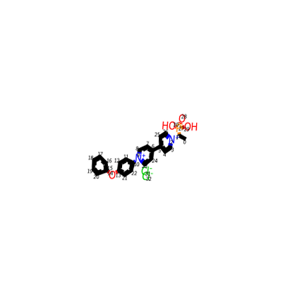 CC([n+]1ccc(-c2cc[n+](-c3ccc(Oc4ccccc4)cc3)cc2)cc1)P(=O)(O)O.[Cl-].[Cl-]